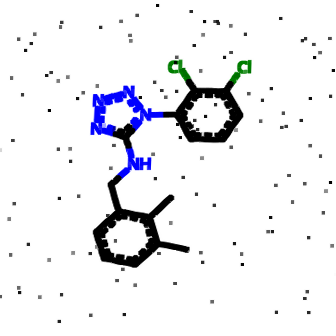 Cc1cccc(CNc2nnnn2-c2cccc(Cl)c2Cl)c1C